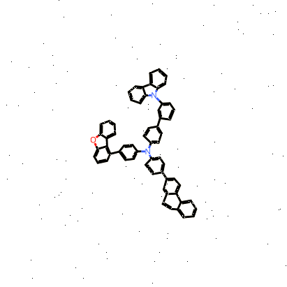 c1cc(-c2ccc(N(c3ccc(-c4ccc5c(ccc6ccccc65)c4)cc3)c3ccc(-c4cccc5oc6ccccc6c45)cc3)cc2)cc(-n2c3ccccc3c3ccccc32)c1